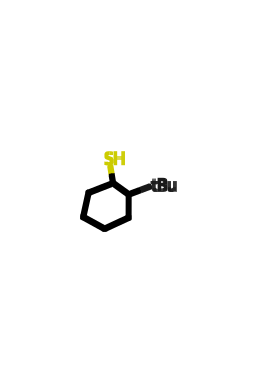 CC(C)(C)C1CCCCC1S